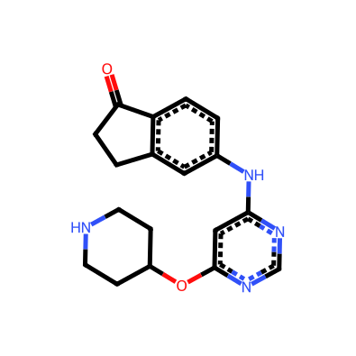 O=C1CCc2cc(Nc3cc(OC4CCNCC4)ncn3)ccc21